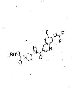 CC(C)(C)OC(=O)N1CC[C@H](NC(=O)c2cnc3cc(OC(F)F)c(F)cc3c2)C1